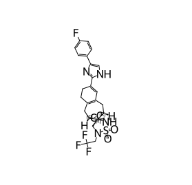 O=S1(=O)N[C@@]2(CN1CC(F)(F)F)[C@@H]1CC[C@H]2CC2=C(C=C(c3nc(-c4ccc(F)cc4)c[nH]3)CC2)C1